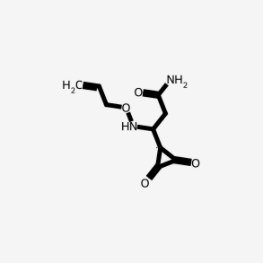 C=CCONC(CC(N)=O)[C]1C(=O)C1=O